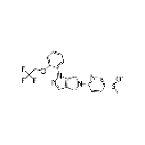 C[S+]([O-])c1ccc(N2Cc3cnn(-c4ccccc4OCC(F)(F)F)c3C2)nc1